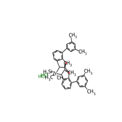 CC1=Cc2c(-c3cc(C)cc(C)c3)cccc2[CH]1[Zr]([CH3])([CH3])(=[SiH2])[CH]1C(C)=Cc2c(-c3cc(C)cc(C)c3)cccc21.Cl.Cl